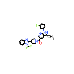 Cc1nn(-c2cccc(F)c2)c2ncc(C(=O)N3CCC(c4nc5ccccc5n4C(F)F)CC3)cc12